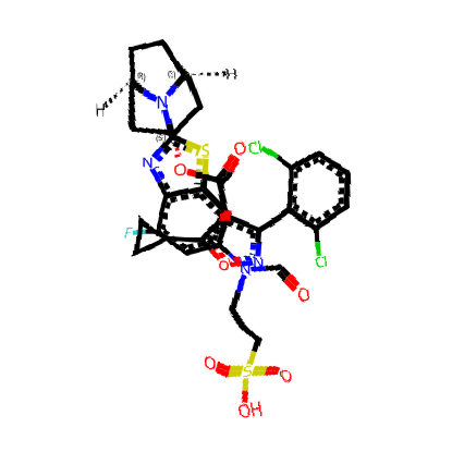 O=CN(CCS(=O)(=O)O)c1cc(F)c2nc(N3[C@@H]4CC[C@H]3C[C@H](OC(=O)c3c(-c5c(Cl)cccc5Cl)noc3C3CC3)C4)sc2c1